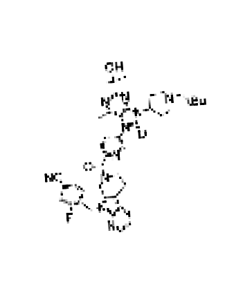 Cc1nc(C(C)(C)O)nc2c1n(-c1ccc(C(=O)N3CCc4c(n(Cc5ccc(C#N)cc5F)c5ncccc45)C3)nc1)c(=O)n2C1CCN(CC(C)(C)C)CC1